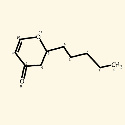 CCCCCC1CC(=O)C=CO1